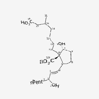 CCCCCC(O)C=CC1CC[C@@H](O)[C@]1(CCCCC(C)CC(=O)O)C(=O)OCC